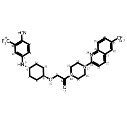 N#Cc1ccc(N[C@H]2CC[C@H](OCC(=O)N3CCN(c4ccc5cc(C(F)(F)F)ccc5n4)CC3)CC2)cc1C(F)(F)F